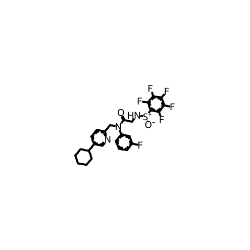 O=C(CN[S+]([O-])c1c(F)c(F)c(F)c(F)c1F)N(Cc1ccc(C2CCCCC2)cn1)c1cccc(F)c1